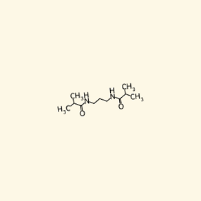 CC(C)C(=O)NCCCNC(=O)C(C)C